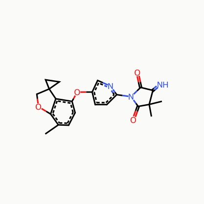 Cc1ccc(Oc2ccc(N3C(=O)C(=N)C(C)(C)C3=O)nc2)c2c1OCC21CC1